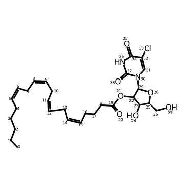 CCCCC/C=C\C/C=C\C/C=C\C/C=C\CCCC(=O)OC1C(O)[C@H](CO)O[C@@H]1n1cc(Cl)c(=O)[nH]c1=O